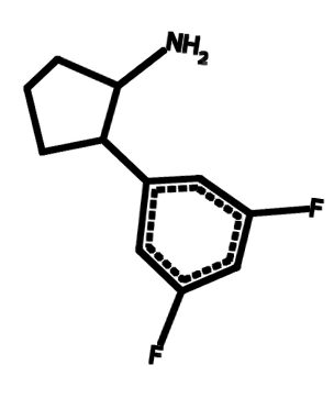 NC1CCCC1c1cc(F)cc(F)c1